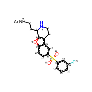 CC(=O)NCCC1NCCc2c1oc1ccc(S(=O)(=O)c3cccc(F)c3)cc21